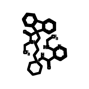 O=C(N[N+]1(CCCCC2(C(=O)NCC(F)(F)F)c3ccccc3-c3ccccc32)CCCCC1)c1cccnc1NCC(F)(F)F